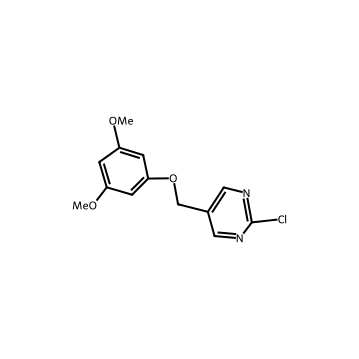 COc1cc(OC)cc(OCc2cnc(Cl)nc2)c1